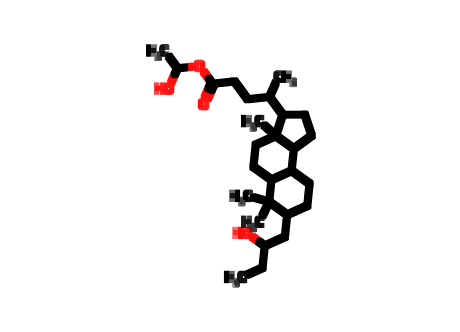 CCC(O)CC1CCC2C(CCC3(C)C(C(C)CCC(=O)OC(C)O)CCC23)C1(C)C